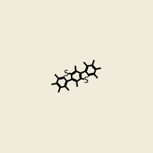 Cc1c(C)c(C)c2c(sc3c(C)c4c(sc5c(C)c(C)c(C)c(C)c54)c(C)c32)c1C